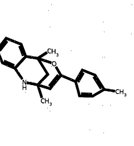 Cc1ccc(C2=CC3(C)CC(C)(O2)c2ccccc2N3)cc1